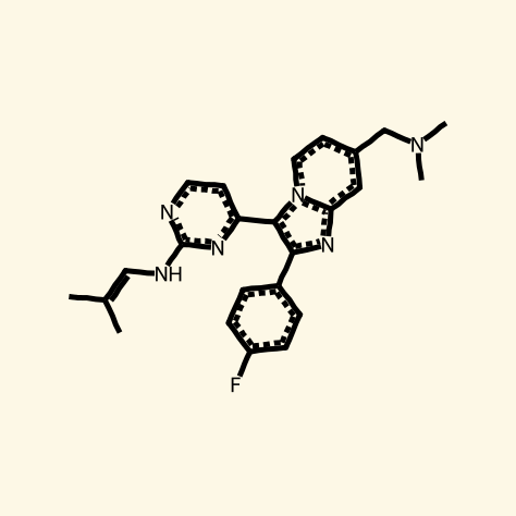 CC(C)=CNc1nccc(-c2c(-c3ccc(F)cc3)nc3cc(CN(C)C)ccn23)n1